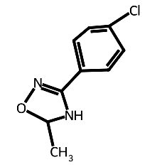 CC1NC(c2ccc(Cl)cc2)=NO1